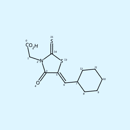 O=C(O)CN1C(=O)C(=CC2CCCCC2)SC1=S